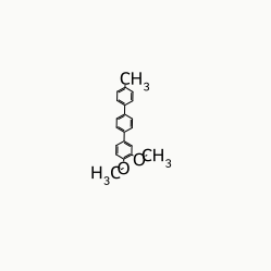 COc1ccc(-c2ccc(-c3ccc(C)cc3)cc2)cc1OC